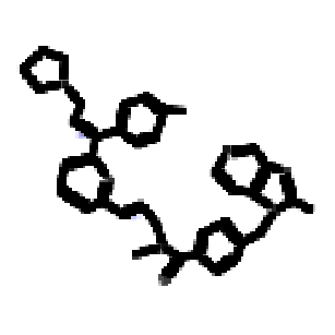 Cc1ccc(/C(=C\CN2CCCC2)c2cccc(/C=C/CN(C)C(=O)c3ccc(Cn4c(C)nc5cnccc54)cc3)n2)cc1